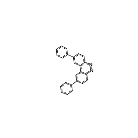 c1ccc(-c2ccc3nnc4ccc(-c5ccccc5)cc4c3c2)cc1